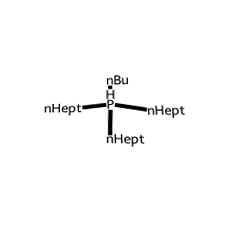 CCCCCCC[PH](CCCC)(CCCCCCC)CCCCCCC